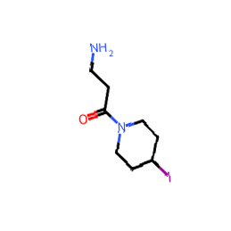 NCCC(=O)N1CCC(I)CC1